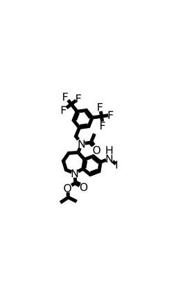 CC(=O)N(Cc1cc(C(F)(F)F)cc(C(F)(F)F)c1)C1CCCN(C(=O)OC(C)C)c2ccc(NI)cc21